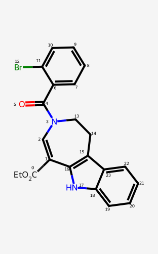 CCOC(=O)C1=CN(C(=O)c2ccccc2Br)CCc2c1[nH]c1ccccc21